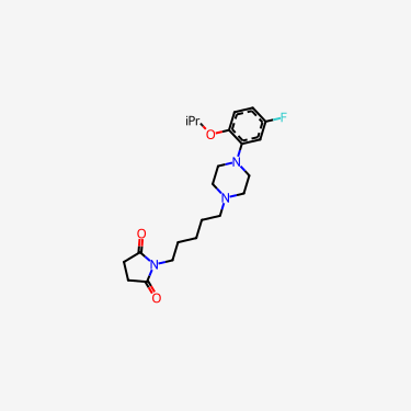 CC(C)Oc1ccc(F)cc1N1CCN(CCCCCN2C(=O)CCC2=O)CC1